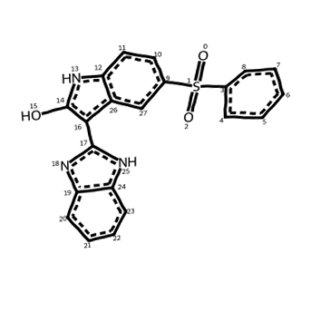 O=S(=O)(c1ccccc1)c1ccc2[nH]c(O)c(-c3nc4ccccc4[nH]3)c2c1